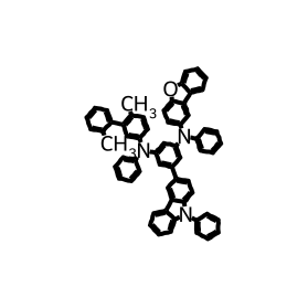 Cc1ccccc1-c1cc(N(c2ccccc2)c2cc(-c3ccc4c(c3)c3ccccc3n4-c3ccccc3)cc(N(c3ccccc3)c3ccc4oc5ccccc5c4c3)c2)ccc1C